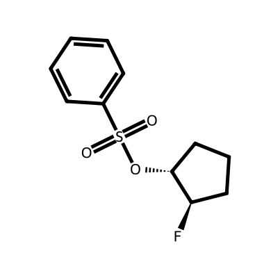 O=S(=O)(O[C@@H]1CCC[C@H]1F)c1ccccc1